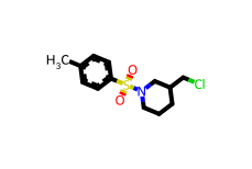 Cc1ccc(S(=O)(=O)N2CCCC(CCl)C2)cc1